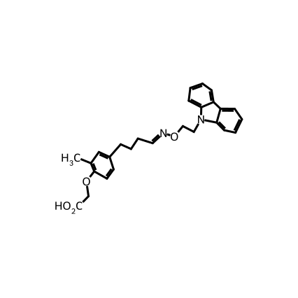 Cc1cc(CCCC=NOCCn2c3ccccc3c3ccccc32)ccc1OCC(=O)O